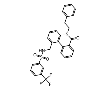 O=C(NCCc1ccccc1)c1ccccc1-c1ccccc1CNS(=O)(=O)c1cccc(C(F)(F)F)c1